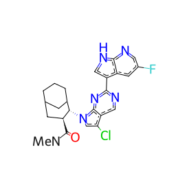 CNC(=O)[C@H]1CC2CCCC(C2)[C@@H]1n1cc(Cl)c2cnc(-c3c[nH]c4ncc(F)cc34)nc21